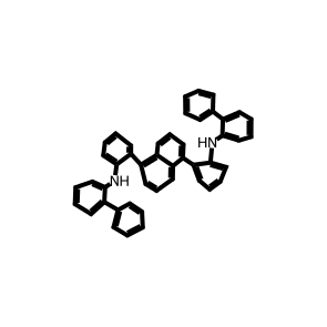 c1ccc(-c2ccccc2Nc2ccccc2-c2cccc3c(-c4ccccc4Nc4ccccc4-c4ccccc4)cccc23)cc1